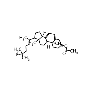 CC(=O)O[C@H]1CC[C@@]2(C)C(=CC=C3[C@@H]4CC[C@H]([C@H](C)CCCC(C)(C)F)[C@@]4(C)CC[C@@H]32)C1